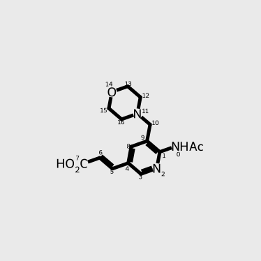 CC(=O)Nc1ncc(C=CC(=O)O)cc1CN1CCOCC1